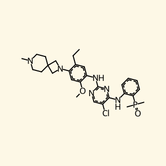 CCc1cc(Nc2ncc(Cl)c(Nc3ccccc3P(C)(C)=O)n2)c(OC)cc1N1CC2(CCN(C)CC2)C1